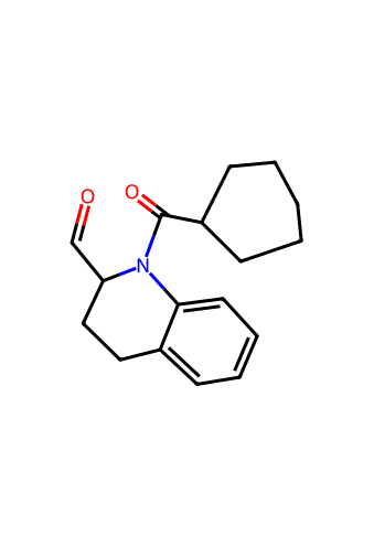 O=CC1CCc2ccccc2N1C(=O)C1CCCCC1